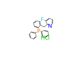 Cl.Fc1cccnc1Cc1ccccc1P(c1ccccc1)c1ccccc1